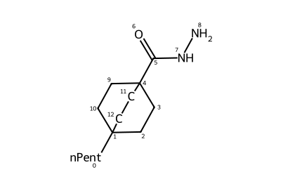 CCCCCC12CCC(C(=O)NN)(CC1)CC2